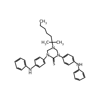 CCCCCC(C)(C)N1CN(c2ccc(Nc3ccccc3)cc2)C(=S)N(c2ccc(Nc3ccccc3)cc2)C1